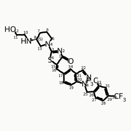 O=C1N=C(N2CCC[C@H](NCCO)C2)SC1=Cc1ccc2c(cnn2Cc2ccc(C(F)(F)F)cc2C(F)(F)F)c1